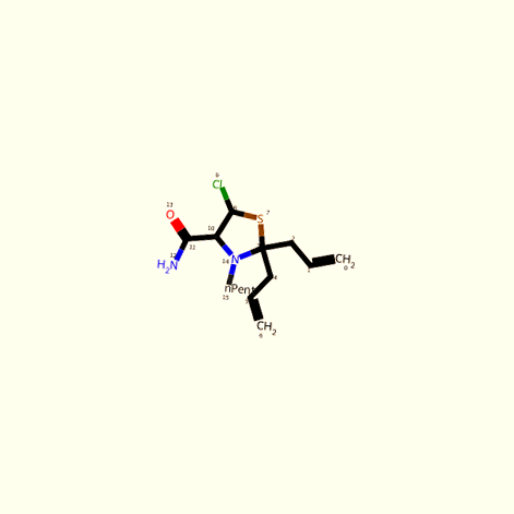 C=CCC1(CC=C)SC(Cl)C(C(N)=O)N1CCCCC